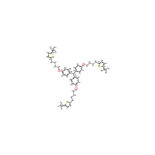 [CH3][Sn]([CH3])([CH3])[c]1ccc(CCCCOc2ccc(C(c3ccc(OCCCCc4cc[c]([Sn]([CH3])([CH3])[CH3])s4)cc3)c3ccc(OCCCCc4cc[c]([Sn]([CH3])([CH3])[CH3])s4)cc3)cc2)s1